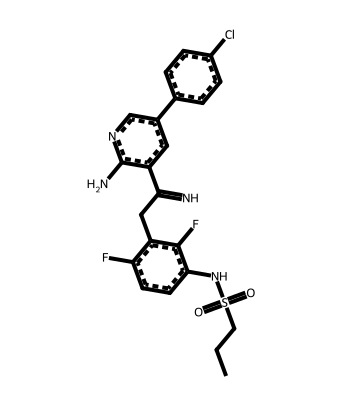 CCCS(=O)(=O)Nc1ccc(F)c(CC(=N)c2cc(-c3ccc(Cl)cc3)cnc2N)c1F